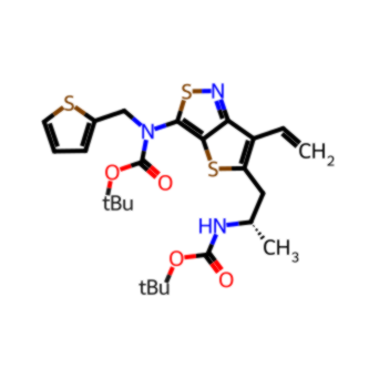 C=Cc1c(C[C@H](C)NC(=O)OC(C)(C)C)sc2c(N(Cc3cccs3)C(=O)OC(C)(C)C)snc12